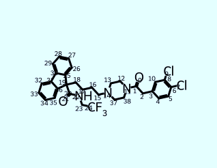 O=C(Cc1ccc(Cl)c(Cl)c1)N1CCN(CCCCC2(C(=O)NCC(F)(F)F)c3ccccc3-c3ccccc32)CC1